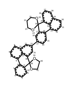 c1ccc2c(c1)-c1cccc3cc(-c4ccc5c(c4)C4(OCCCO4)c4cccc6cccc-5c46)cc(c13)C21OCCO1